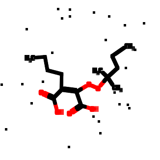 CCCCC(C(=O)O)=C(OOC(C)(C)CCC)C(=O)O